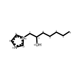 CCCCCC(O)Cn1ccnc1